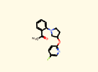 COC(=O)c1ccccc1N1CCC(Oc2ccc(F)cn2)C1